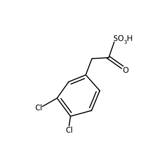 O=C(Cc1ccc(Cl)c(Cl)c1)S(=O)(=O)O